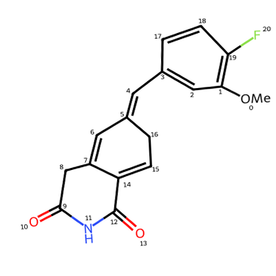 COc1cc(C=C2C=C3CC(=O)NC(=O)C3=CC2)ccc1F